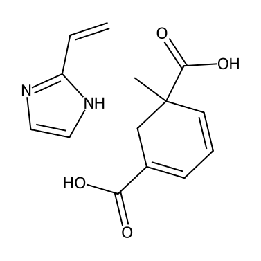 C=Cc1ncc[nH]1.CC1(C(=O)O)C=CC=C(C(=O)O)C1